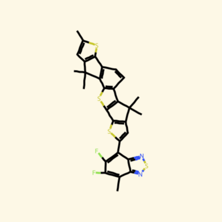 Cc1cc2c(s1)-c1ccc3c4c(sc3c1C2(C)C)-c1sc(-c2c(F)c(F)c(C)c3nsnc23)cc1C4(C)C